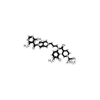 CCOC(=O)C(C(C)C)N1CCC(C(=O)N(CCCN2CC3=CN(C(=O)c4c(C)ncnc4C)CC3C2)c2ccc(C)c(Cl)c2)CC1